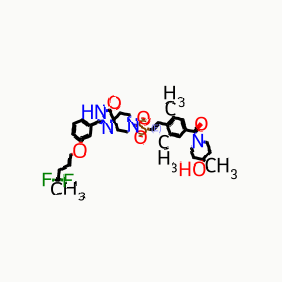 Cc1cc(C(=O)N2CCC(C)(O)CC2)cc(C)c1/C=C/S(=O)(=O)N1CCC2(CC1)N=C(c1cccc(OCCCC(C)(F)F)c1)NC2=O